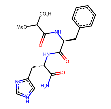 COC(C(=O)O)C(=O)N[C@@H](Cc1ccccc1)C(=O)N[C@@H](Cc1c[nH]cn1)C(N)=O